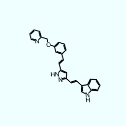 C(=Cc1cc(C=Cc2c[nH]c3ccccc23)n[nH]1)c1cccc(OCc2ccccn2)c1